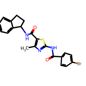 Cc1nc(NC(=O)c2ccc(Br)cc2)sc1C(=O)NC1CCc2ccccc21